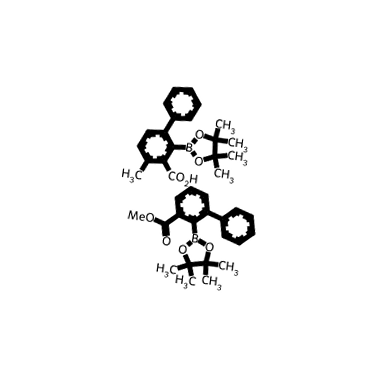 COC(=O)c1cccc(-c2ccccc2)c1B1OC(C)(C)C(C)(C)O1.Cc1ccc(-c2ccccc2)c(B2OC(C)(C)C(C)(C)O2)c1C(=O)O